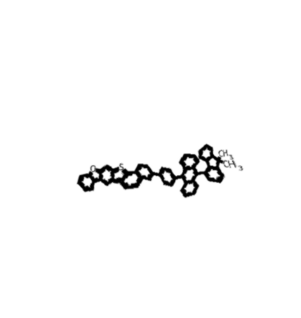 CC1(C)c2ccccc2-c2c(-c3c4ccccc4c(-c4ccc(-c5ccc6c(ccc7c8cc9c(cc8sc67)oc6ccccc69)c5)cc4)c4ccccc34)cccc21